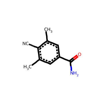 Cc1cc(C(N)=O)cc(C)c1C#N